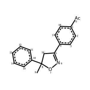 CC(=O)c1ccc(C2=NOC(C)(c3ccccc3)C2)cc1